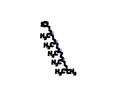 C/C(=C\CC/C(C)=C/CCc1ccsc1)CC/C=C(\C)CC/C=C(\C)CCCC(C)C